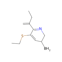 BC1C=C(SCC)C(C(=C)CC)=NC1